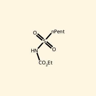 CCCCCS(=O)(=O)NC(=O)OCC